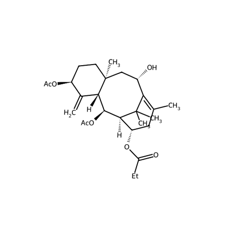 C=C1[C@@H](OC(C)=O)CC[C@@]2(C)C[C@H](O)C3=C(C)C[C@H](OC(=O)CC)[C@@H]([C@@H](OC(C)=O)[C@H]12)C3(C)C